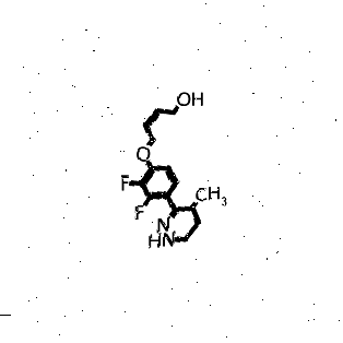 CC1CCNN=C1c1ccc(OC/C=C\CO)c(F)c1F